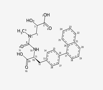 CN(CC(O)C(=O)O)C(=O)N[C@@H](Cc1ccc(-c2cccc3ccccc23)cc1)C(=O)O